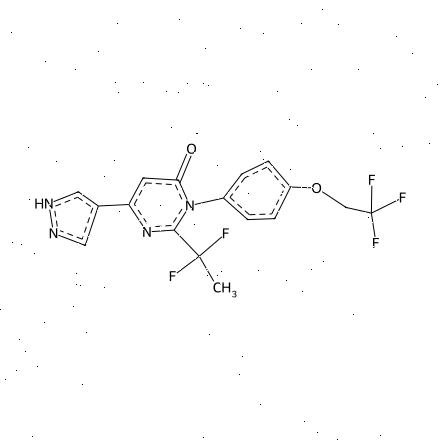 CC(F)(F)c1nc(-c2cn[nH]c2)cc(=O)n1-c1ccc(OCC(F)(F)F)cc1